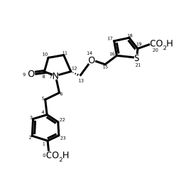 O=C(O)c1ccc(CCN2C(=O)CC[C@@H]2COCc2ccc(C(=O)O)s2)cc1